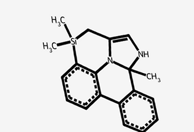 CC12NC=C3C[Si](C)(C)c4cccc(c4N31)-c1ccccc12